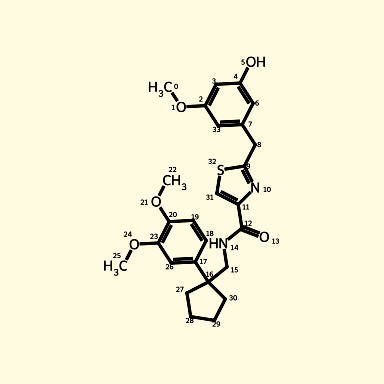 COc1cc(O)cc(Cc2nc(C(=O)NCC3(c4ccc(OC)c(OC)c4)CCCC3)cs2)c1